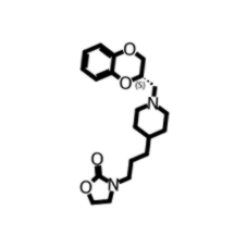 O=C1OCCN1CCCC1CCN(C[C@H]2COc3ccccc3O2)CC1